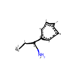 CCC(C)CC(N)c1c[c]ccc1